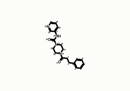 O=C(CCc1ccccc1)N1CCN(C(=O)Nc2cccnc2)CC1